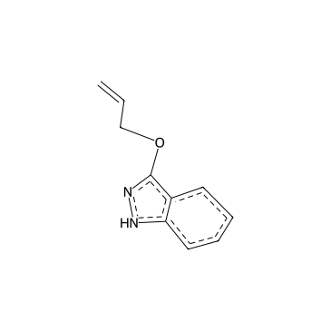 C=CCOc1n[nH]c2ccccc12